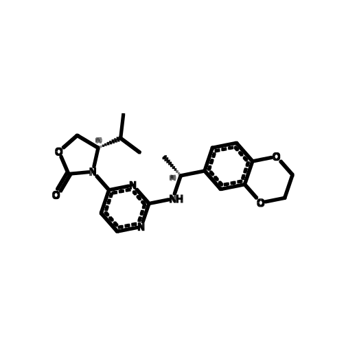 CC(C)[C@H]1COC(=O)N1c1ccnc(N[C@H](C)c2ccc3c(c2)OCCO3)n1